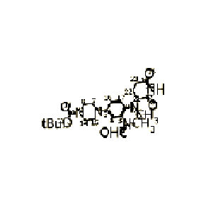 CN(C=O)c1cc(N2CCN(C(=O)OC(C)(C)C)CC2)ccc1N(C)C1CCC(=O)NC1=O